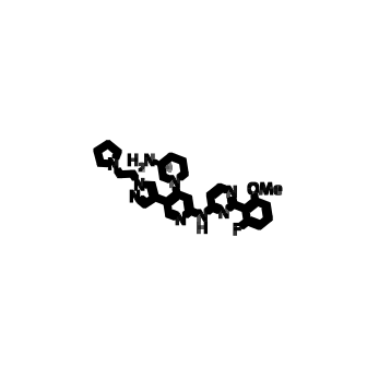 COc1cccc(F)c1-c1nccc(Nc2cc(N3CCC[C@H](N)C3)c(-c3cnn(CCN4CCCC4)c3)cn2)n1